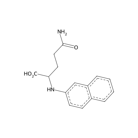 NC(=O)CCC(Nc1ccc2ccccc2c1)C(=O)O